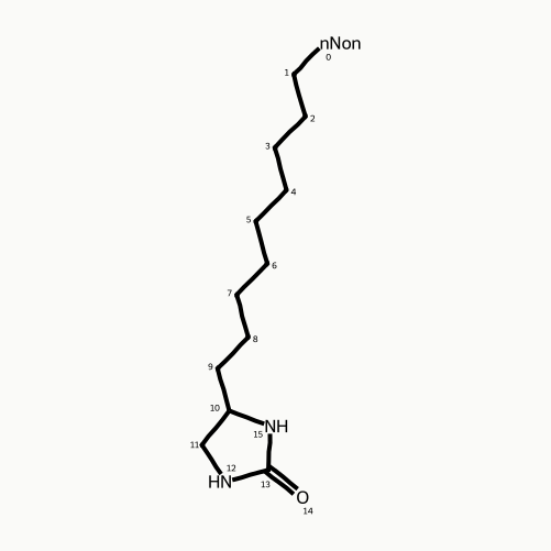 CCCCCCCCCCCCCCCCCCC1CNC(=O)N1